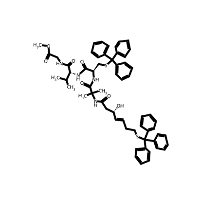 COC(=O)CNC(=O)[C@H](NC(=O)[C@@H](CSC(c1ccccc1)(c1ccccc1)c1ccccc1)NC(=O)C(C)(C)NC(=O)C[C@H](O)/C=C/CCSC(c1ccccc1)(c1ccccc1)c1ccccc1)C(C)C